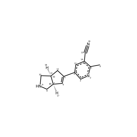 Cc1ncc(C2=C[C@H]3CNC[C@H]3C2)cc1C#N